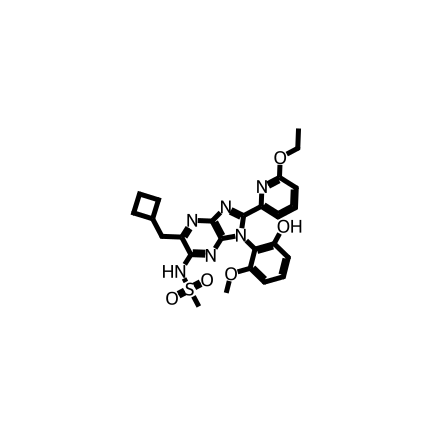 CCOC1=NC(c2nc3nc(CC4CCC4)c(NS(C)(=O)=O)nc3n2-c2c(O)cccc2OC)=C=C=C1